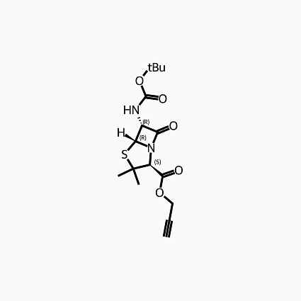 C#CCOC(=O)[C@@H]1N2C(=O)[C@@H](NC(=O)OC(C)(C)C)[C@H]2SC1(C)C